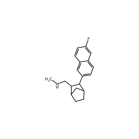 CNCC1C2CCC(C2)C1c1ccc2cc(F)ccc2c1